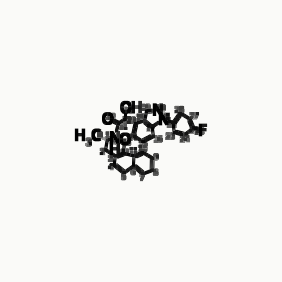 C[C@@H](Cc1ccc2ccccc2c1Oc1ccc2c(cnn2-c2ccc(F)cc2)c1)NC(=O)CO